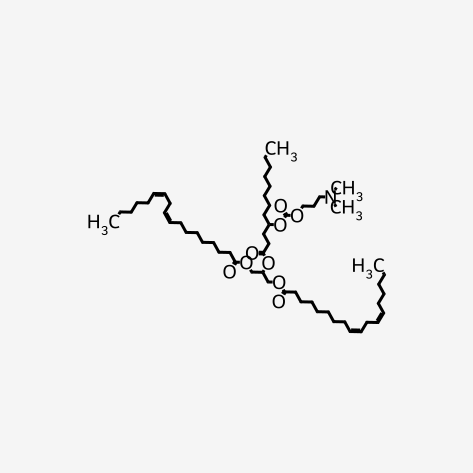 CCCCC/C=C\C/C=C\CCCCCCCC(=O)OCC(COC(=O)CCCCCCC/C=C\C/C=C\CCCCC)OC(=O)CCC(CCCCCCCC)OC(=O)OCCCN(C)C